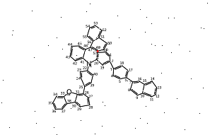 c1cc(-c2ccc(-c3ccc4ccccc4c3)cc2)cc(N(c2ccc(-c3cccc4c3oc3ccccc34)cc2)c2ccccc2-c2cccc3ccccc23)c1